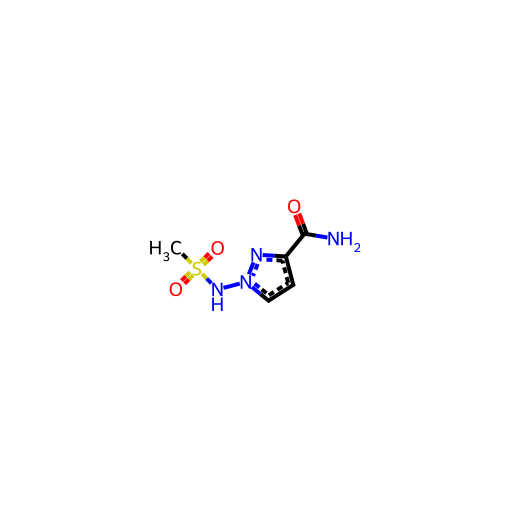 CS(=O)(=O)Nn1ccc(C(N)=O)n1